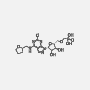 O=P(O)(O)COC[C@H]1O[C@@H](n2ncc3c(NCC4CCCO4)nc(Cl)nc32)[C@H](O)[C@@H]1O